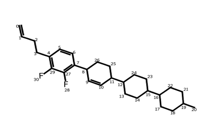 C=CCCc1ccc(C2C=CC(C3CCC(C4CCC(C)CC4)CC3)CC2)c(F)c1F